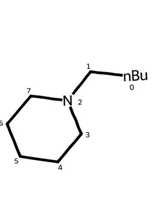 [CH2]CCCCN1CCCCC1